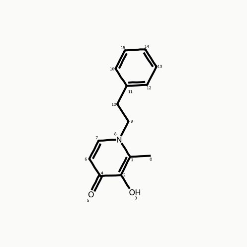 Cc1c(O)c(=O)ccn1CCc1ccccc1